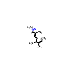 C/C=C(/C)C(C)C/C=C(\C)CNC